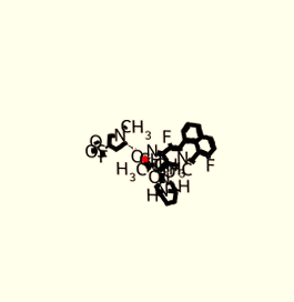 C#Cc1c(F)ccc2cccc(-c3ncc4c(N5C[C@H]6CC[C@@H](C5)N6C(=O)OC(C)(C)C)nc(OC[C@@H]5C[C@@H](S(=O)(=O)F)CN5C)nc4c3F)c12